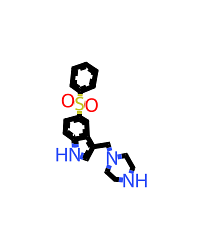 O=S(=O)(c1ccccc1)c1ccc2[nH]cc(CN3CCNCC3)c2c1